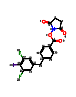 O=C(ON1C(=O)CCC1=O)c1ccc(Cc2cc(F)c(I)c(F)c2)cc1